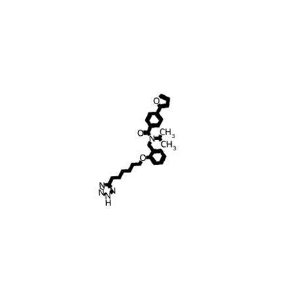 CC(C)N(Cc1ccccc1OCCCCCCc1nn[nH]n1)C(=O)c1ccc(-c2ccco2)cc1